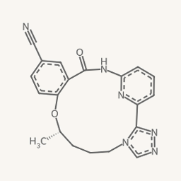 C[C@H]1CCCn2cnnc2-c2cccc(n2)NC(=O)c2cc(C#N)ccc2O1